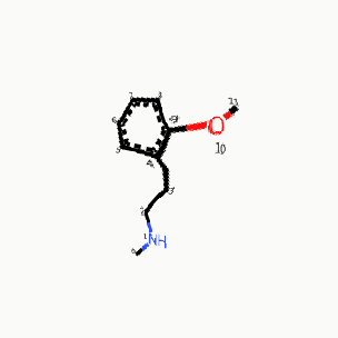 CNCCc1ccccc1OC